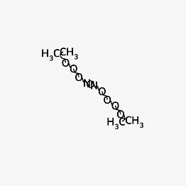 CC(C)CCOCCOCCOCCN1CCN(CCOCCOCCOCCOCC(C)C)CC1